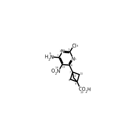 Nc1nc(Cl)nc(C23CC(C(=O)O)(C2)C3)c1[N+](=O)[O-]